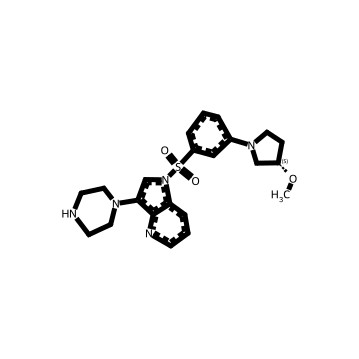 CO[C@H]1CCN(c2cccc(S(=O)(=O)n3cc(N4CCNCC4)c4ncccc43)c2)C1